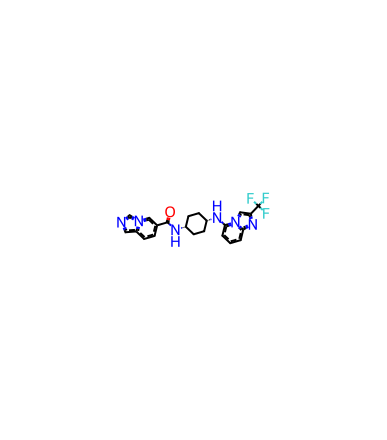 O=C(N[C@H]1CC[C@@H](Nc2cccc3nc(C(F)(F)F)cn23)CC1)c1ccc2cncn2c1